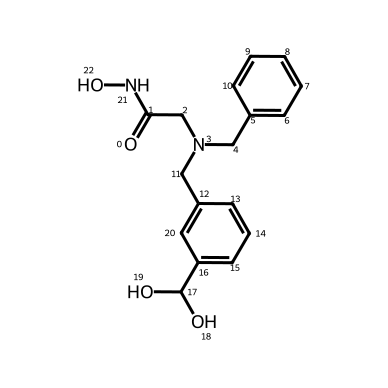 O=C(CN(Cc1ccccc1)Cc1cccc(C(O)O)c1)NO